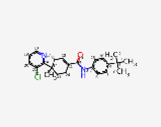 CC(C)(C)c1ccc(NC(=O)C2=CCC(C)(c3ncccc3Cl)CC2)cc1